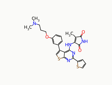 CC1=C(Nc2nc(-c3cccs3)nc3scc(-c4cccc(OCCCN(C)C)c4)c23)C(=O)NC1=O